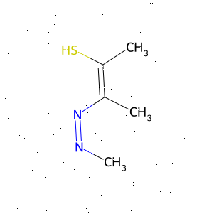 C/N=N\C(C)=C(\C)S